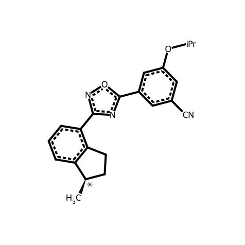 CC(C)Oc1cc(C#N)cc(-c2nc(-c3cccc4c3CC[C@H]4C)no2)c1